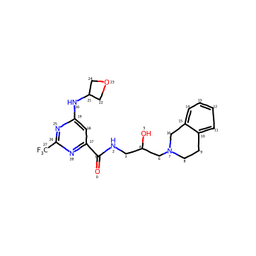 O=C(NCC(O)CN1CCc2ccccc2C1)c1cc(NC2COC2)nc(C(F)(F)F)n1